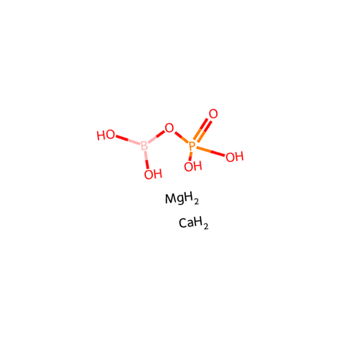 O=P(O)(O)OB(O)O.[CaH2].[MgH2]